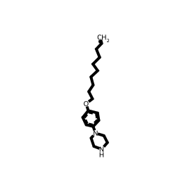 C=CCCCCCCCCOc1ccc(N2CCNCC2)cc1